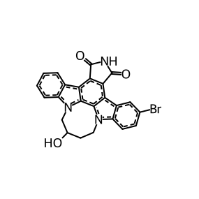 O=C1NC(=O)c2c1c1c3cc(Br)ccc3n3c1c1c2c2ccccc2n1CC(O)CC3